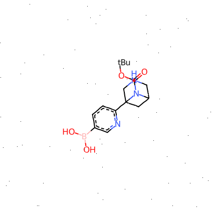 CC(C)(C)OC(=O)N1C2CNCC1(c1ccc(B(O)O)cn1)C2